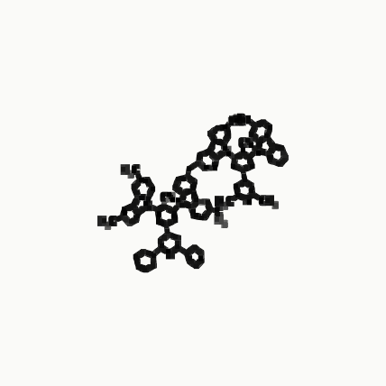 Cc1ccc2c(c1)c1cc(C)ccc1n2-c1cc(-c2cc(-c3ccccc3)nc(-c3ccccc3)c2)cc(-n2c3ccc(C)cc3c3cc(Cc4ccc5c(c4)c4ccc(C(C)(C)C)cc4n5-c4cc(-c5cc(C)nc(C)c5)cc(-n5c6ccccc6c6ccc(C(C)(C)C)cc65)c4C#N)ccc32)c1C#N